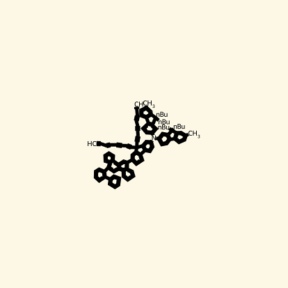 C#CC#CC#CC#CC1(C#CC#CC#CC#C)c2cc(-c3cc4c5ccccc5c(-c5ccccc5-c5ccccc5)cc4c4ccccc34)ccc2-c2ccc(N(c3ccc4c(c3)C(CCCC)(CCCC)c3cc(C)ccc3-4)c3ccc4c(c3)C(CCCC)(CCCC)c3cc(C)ccc3-4)cc21